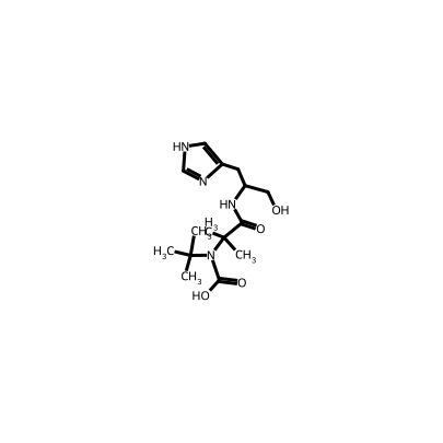 CC(C)(C)N(C(=O)O)C(C)(C)C(=O)NC(CO)Cc1c[nH]cn1